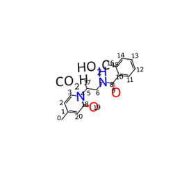 Cc1ccn(C(CNC(=O)c2ccccc2C(=O)O)C(=O)O)c(=O)c1